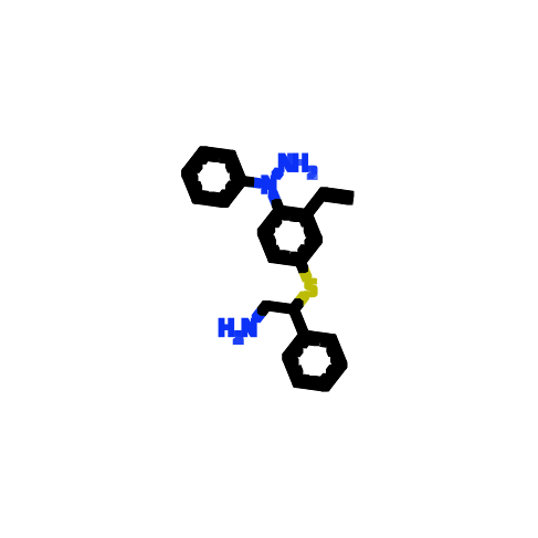 C=Cc1cc(SC(CN)c2ccccc2)ccc1N(N)c1ccccc1